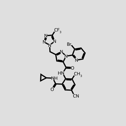 Cc1cc(C#N)cc(C(=O)NC2CC2)c1NC(=O)c1cc(Cn2nnc(C(F)(F)F)n2)nn1-c1ncccc1Br